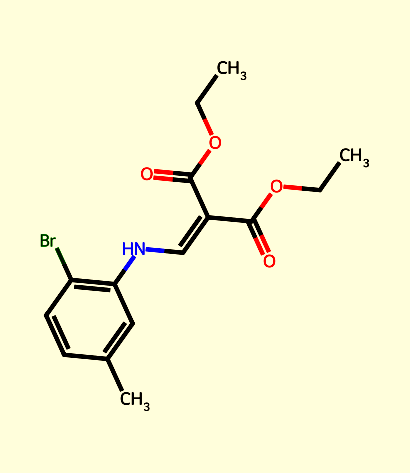 CCOC(=O)C(=CNc1cc(C)ccc1Br)C(=O)OCC